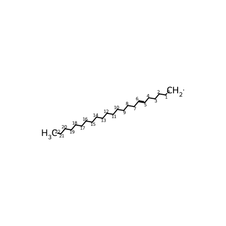 [CH2]CCCC/C=C/CCCCCCCCCCCCCCCC